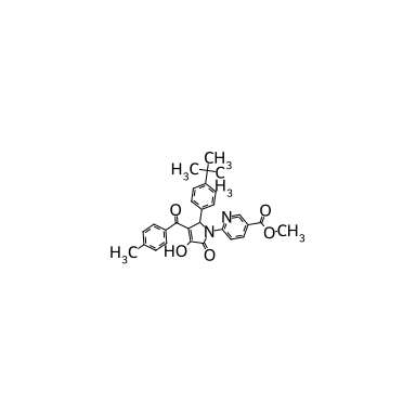 COC(=O)c1ccc(N2C(=O)C(O)=C(C(=O)c3ccc(C)cc3)C2c2ccc(C(C)(C)C)cc2)nc1